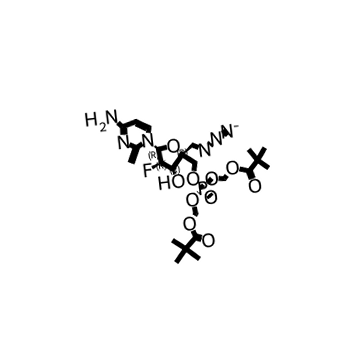 C=C1N=C(N)C=CN1[C@@H]1O[C@](CN=[N+]=[N-])(COP(=O)(OCOC(=O)C(C)(C)C)OCOC(=O)C(C)(C)C)[C@@H](O)[C@H]1F